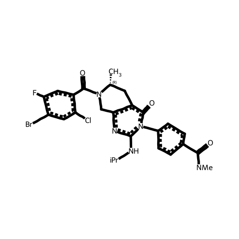 CNC(=O)c1ccc(-n2c(NC(C)C)nc3c(c2=O)C[C@@H](C)N(C(=O)c2cc(F)c(Br)cc2Cl)C3)cc1